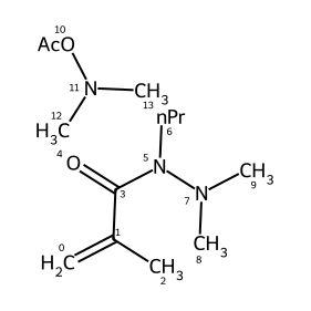 C=C(C)C(=O)N(CCC)N(C)C.CC(=O)ON(C)C